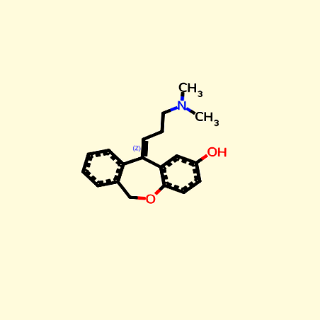 CN(C)CC/C=C1/c2ccccc2COc2ccc(O)cc21